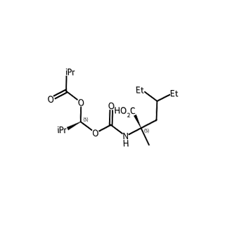 CCC(CC)C[C@](C)(NC(=O)O[C@H](OC(=O)C(C)C)C(C)C)C(=O)O